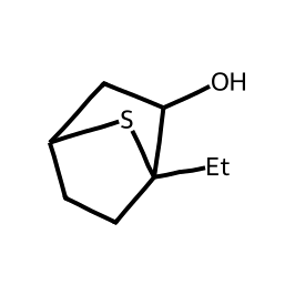 CCC12CCC(CC1O)S2